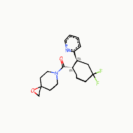 O=C([C@H]1CCC(F)(F)C[C@@H]1c1ccccn1)N1CCC2(CC1)CO2